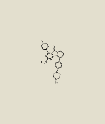 CCN1CCN(c2ccc(-c3cccc4c3-c3nc(N)nc(-c5ccc(C)cc5)c3C4=O)cc2)CC1